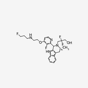 C[C@@H]1Cc2c([nH]c3ccccc23)C(c2nccc(OCCNCCCF)c2F)N1CC(F)(F)CO